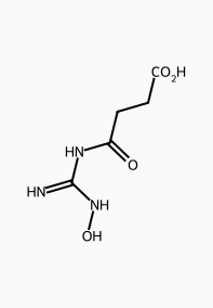 N=C(NO)NC(=O)CCC(=O)O